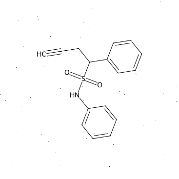 C#CCC(c1ccccc1)S(=O)(=O)Nc1ccccc1